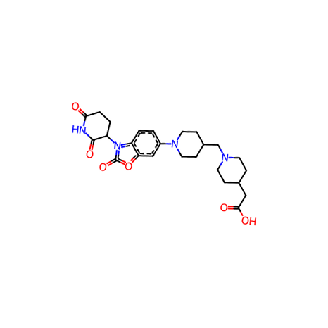 O=C(O)CC1CCN(CC2CCN(c3ccc4c(c3)oc(=O)n4C3CCC(=O)NC3=O)CC2)CC1